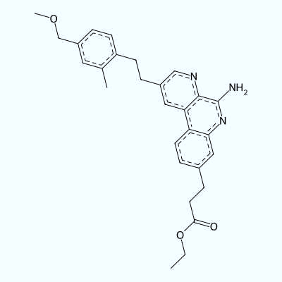 CCOC(=O)CCc1ccc2c(c1)nc(N)c1ncc(CCc3ccc(COC)cc3C)cc12